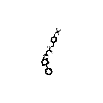 O=C(Cc1nc2ccc(-c3ccccc3)cc2s1)NCc1ccc(OC(F)(F)F)cc1